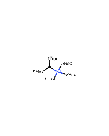 CCCCCCCCCC(CCCCCC)[N+](CCCCCC)(CCCCCC)CCCCCC